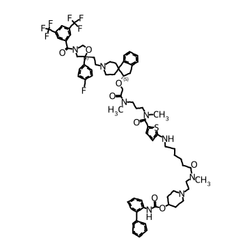 CN(CCN1CCC(OC(=O)Nc2ccccc2-c2ccccc2)CC1)C(=O)CCCCCNc1ccc(C(=O)N(C)CCCN(C)C(=O)CO[C@H]2Cc3ccccc3C23CCN(CC[C@@]2(c4ccc(F)cc4)CN(C(=O)c4cc(C(F)(F)F)cc(C(F)(F)F)c4)CO2)CC3)s1